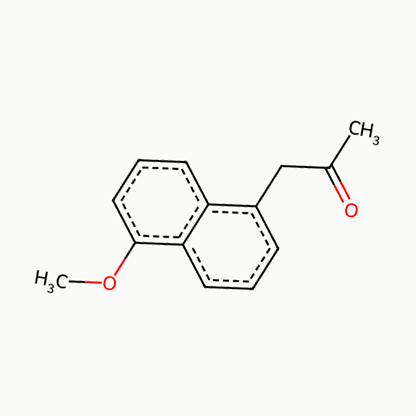 COc1cccc2c(CC(C)=O)cccc12